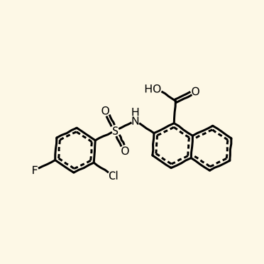 O=C(O)c1c(NS(=O)(=O)c2ccc(F)cc2Cl)ccc2ccccc12